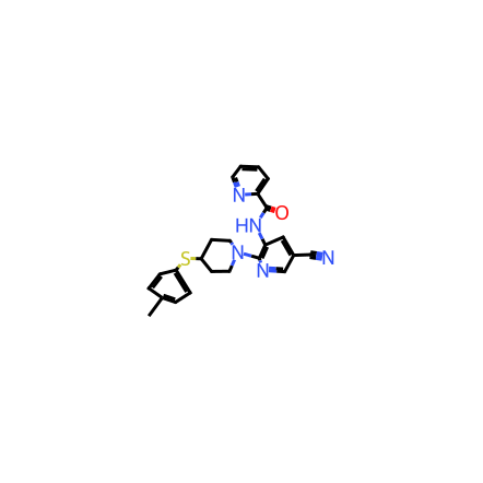 Cc1ccc(SC2CCN(c3ncc(C#N)cc3NC(=O)c3ccccn3)CC2)cc1